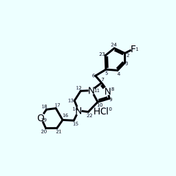 Cl.Fc1ccc(Cc2ncc3n2CCN(CC2CCOCC2)C3)cc1